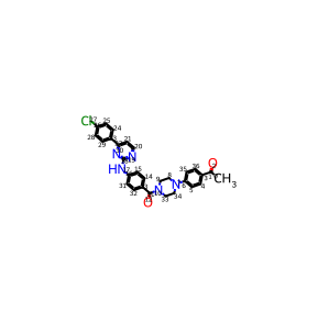 CC(=O)c1ccc(N2CCN(C(=O)c3ccc(Nc4nccc(-c5ccc(Cl)cc5)n4)cc3)CC2)cc1